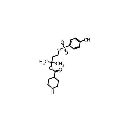 Cc1ccc(S(=O)(=O)OCCC(C)(C)OC(=O)C2CCNCC2)cc1